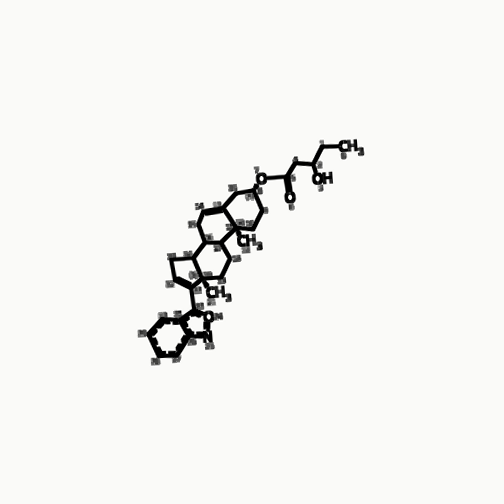 CCC(O)CC(=O)O[C@H]1CC[C@@]2(C)C(=CCC3C2CC[C@]2(C)C(c4onc5ccccc45)=CCC32)C1